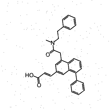 CN(CCc1ccccc1)C(=O)Cc1cc(C=CC(=O)O)cc2c(-c3ccccc3)cccc12